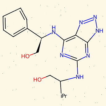 CC(C)C(CO)Nc1nc(N[C@@H](CO)c2ccccc2)c2nn[nH]c2n1